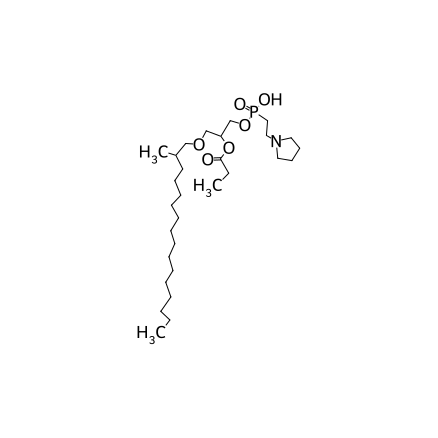 CCCCCCCCCCCCCCC(C)COCC(COP(=O)(O)CCN1CCCC1)OC(=O)CC